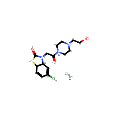 O=C(CN1C(=O)SC2C=CC(Cl)=CC21)N1CCN(CCO)CC1.[Cl-].[H+]